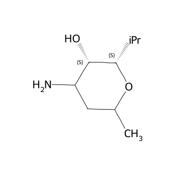 CC1CC(N)[C@H](O)[C@H](C(C)C)O1